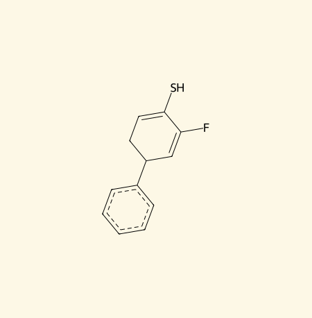 FC1=CC(c2ccccc2)CC=C1S